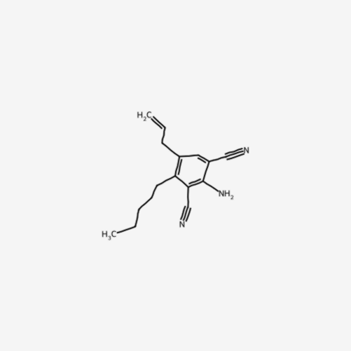 C=CCc1cc(C#N)c(N)c(C#N)c1CCCCC